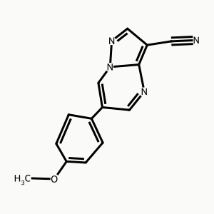 COc1ccc(-c2cnc3c(C#N)cnn3c2)cc1